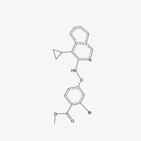 COC(=O)c1ccc(ONc2ncc3ccccc3c2C2CC2)cc1Br